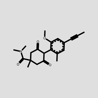 CC#Cc1cc(C)c(C2C(=O)CC(C)(C(=O)N(C)C)CC2=O)c(OC)c1